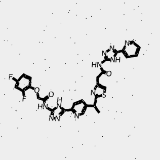 CC(c1ccc(-c2nnc(NC(=O)COc3ccc(F)cc3F)[nH]2)nc1)c1nc(CC(=O)Nc2nnc(-c3ccccn3)[nH]2)cs1